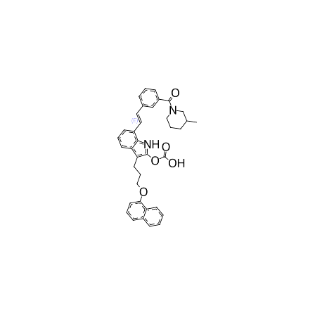 CC1CCCN(C(=O)c2cccc(/C=C/c3cccc4c(CCCOc5cccc6ccccc56)c(OC(=O)O)[nH]c34)c2)C1